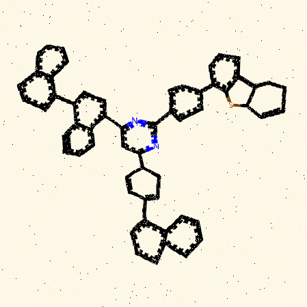 c1ccc2c(-c3cc(C4C=CC(c5cccc6ccccc56)=CC4)nc(-c4ccc(-c5cccc6c5SC5C=CCCC65)cc4)n3)ccc(-c3cccc4ccccc34)c2c#1